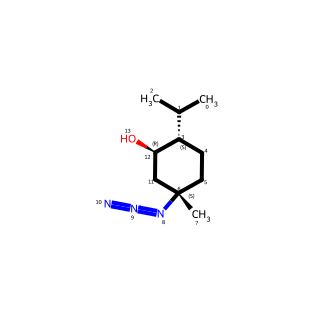 CC(C)[C@@H]1CC[C@](C)(N=[N+]=[N-])C[C@H]1O